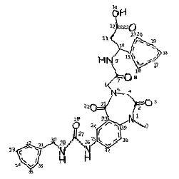 CN1C(=O)CN(CC(=O)NC(CC(=O)O)c2ccccc2)C(=O)c2cc(NC(=O)NCc3ccccc3)ccc21